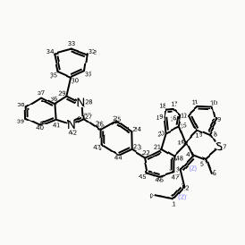 C/C=C\C=C1/C(C)Sc2ccccc2C12c1ccccc1-c1c(-c3ccc(-c4nc(-c5ccccc5)c5ccccc5n4)cc3)cccc12